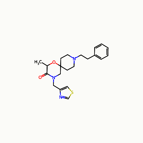 CC1OC2(CCN(CCc3ccccc3)CC2)CN(Cc2cscn2)C1=O